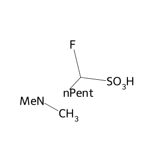 CCCCCC(F)S(=O)(=O)O.CNC